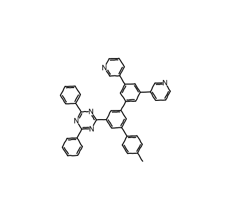 Cc1ccc(-c2cc(-c3cc(-c4cccnc4)cc(-c4cccnc4)c3)cc(-c3nc(-c4ccccc4)nc(-c4ccccc4)n3)c2)cc1